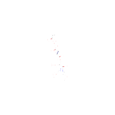 COCCN(CCOC)C(=O)C(O)COC(=O)/C=C/C(=O)OCOC(=O)C(C)C